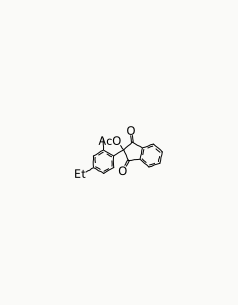 CCc1ccc(C2(OC(C)=O)C(=O)c3ccccc3C2=O)c(C)c1